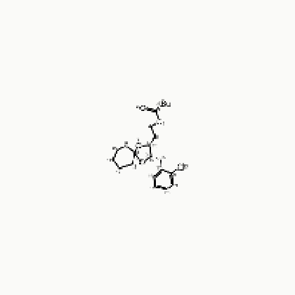 CC(C)(C)C(=O)OCC[C@@H]1OC2(CCCCC2)O[C@H]1Cc1ccccc1Cl